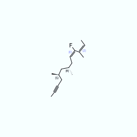 CC#CC[C@@H](C)C[C@@H](C)C/C=C(F)\C(C)=C/C